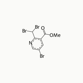 COC(=O)c1cc(Br)cnc1C(Br)Br